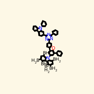 Bc1cc(B)c2c(c1B)c1c(B)c(B)cc(B)c1n2-c1cc(-c2ccccc2)c2oc3cc(-c4nc(-c5ccccc5)nc(-c5ccc6c7ccccc7n(-c7ccccc7)c6c5)n4)ccc3c2c1